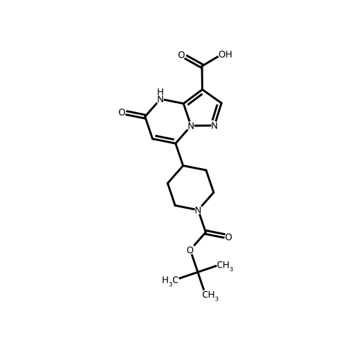 CC(C)(C)OC(=O)N1CCC(c2cc(=O)[nH]c3c(C(=O)O)cnn23)CC1